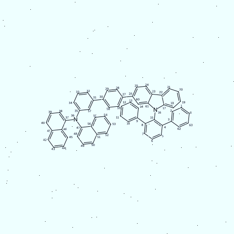 c1ccc(-c2cccc(-c3ccccc3)c2-n2c3ccccc3c3ccc(-c4ccc(-c5cccc(N(c6cccc7ccccc67)c6cccc7ccccc67)c5)cc4)cc32)cc1